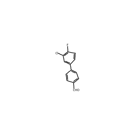 O=Cc1ccc(-c2ccc(F)c(Cl)c2)cc1